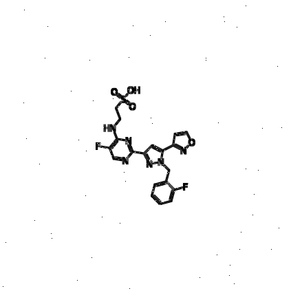 O=S(=O)(O)CCNc1nc(-c2cc(-c3ccon3)n(Cc3ccccc3F)n2)ncc1F